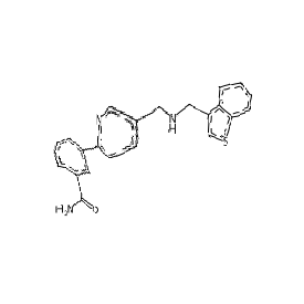 NC(=O)c1cccc(-c2ccc(CNCc3csc4ccccc34)cn2)c1